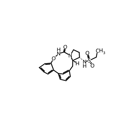 CCS(=O)(=O)N[C@H]1CCN2C(=O)NOc3ccccc3-c3cccc(c3)C[C@@H]12